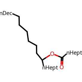 CCCCCCCCCCCCCCCCC(CCCCCCC)OC(=O)CCCCCCC